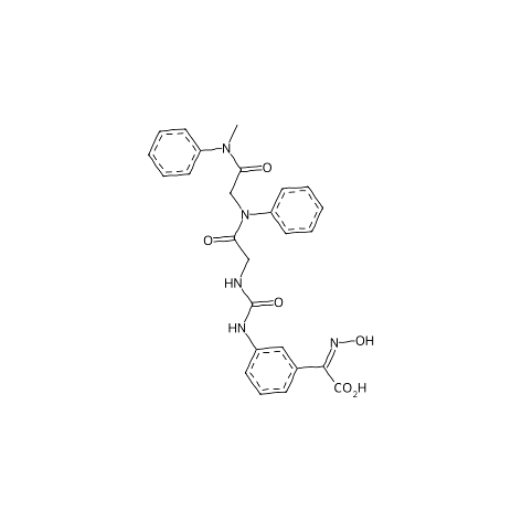 CN(C(=O)CN(C(=O)CNC(=O)Nc1cccc(C(=NO)C(=O)O)c1)c1ccccc1)c1ccccc1